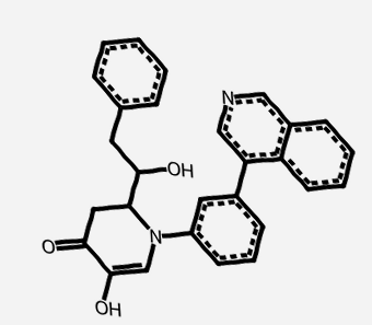 O=C1CC(C(O)Cc2ccccc2)N(c2cccc(-c3cncc4ccccc34)c2)C=C1O